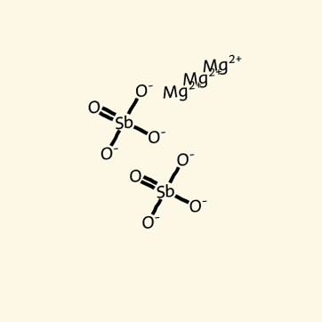 [Mg+2].[Mg+2].[Mg+2].[O]=[Sb]([O-])([O-])[O-].[O]=[Sb]([O-])([O-])[O-]